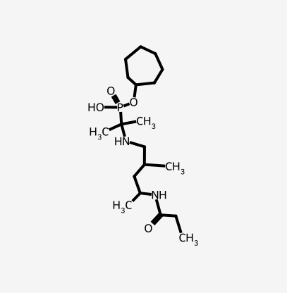 CCC(=O)NC(C)CC(C)CNC(C)(C)P(=O)(O)OC1CCCCCC1